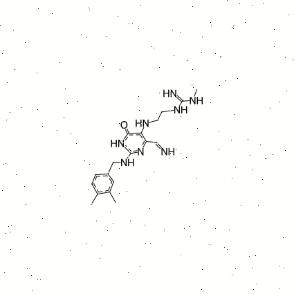 CNC(=N)NCCNc1c(C=N)nc(NCc2ccc(C)c(C)c2)[nH]c1=O